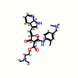 Cc1cc(CN(C)C)ccc1NC1=C(C(=O)OCCN(C)C)C(=O)/C(=C/C2=CNC3N=CC=CC23)O1